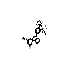 Cc1cc(CCC2(C3CCCC3)CC(O)=CC(=O)O2)ccc1C1(C)OCCO1